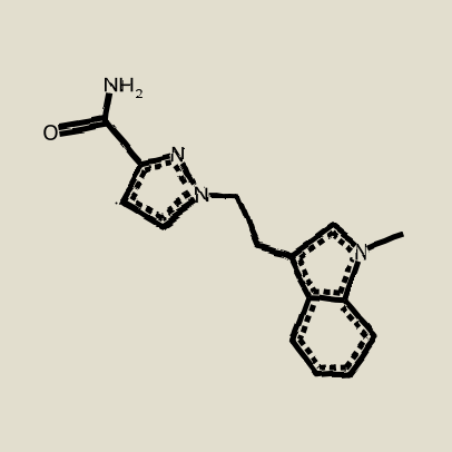 Cn1cc(CCn2c[c]c(C(N)=O)n2)c2ccccc21